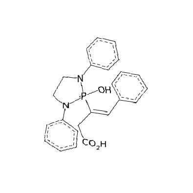 O=C(O)CC(=Cc1ccccc1)[P]1(O)N(c2ccccc2)CCN1c1ccccc1